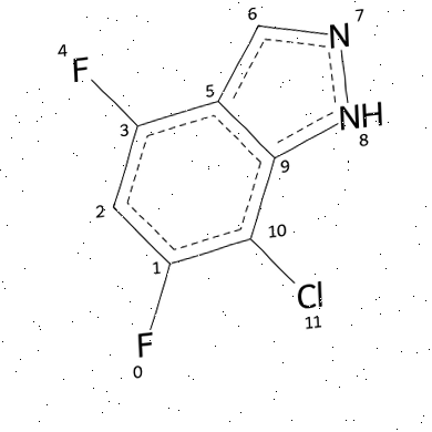 Fc1cc(F)c2cn[nH]c2c1Cl